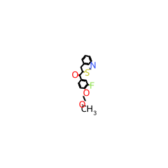 COCCOc1ccc(C(=O)C(Cc2ccccc2)SC#N)cc1F